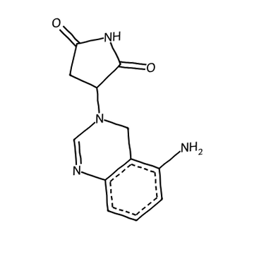 Nc1cccc2c1CN(C1CC(=O)NC1=O)C=N2